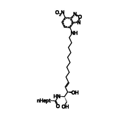 CCCCCCCC(=O)N[C@@H](CO)[C@H](O)/C=C/CCCCCCCCCNc1ccc([N+](=O)[O-])c2nonc12